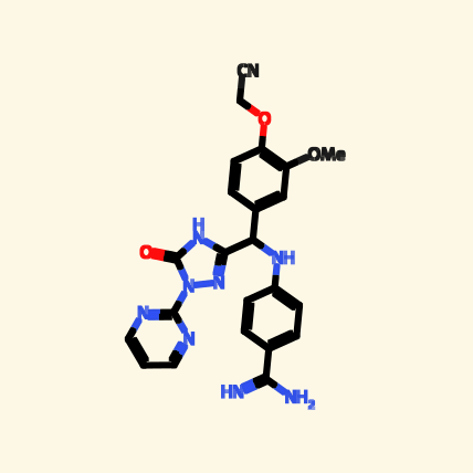 COc1cc(C(Nc2ccc(C(=N)N)cc2)c2nn(-c3ncccn3)c(=O)[nH]2)ccc1OCC#N